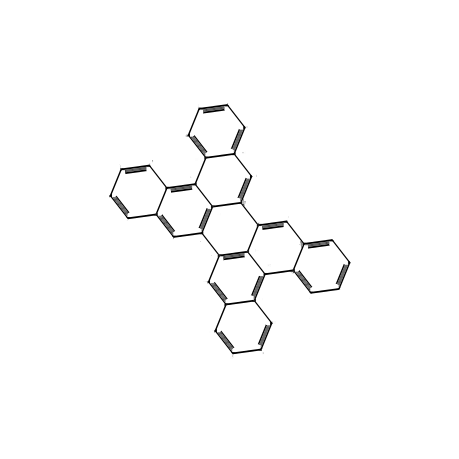 c1ccc2c(c1)cc1c3cc4ccccc4c4c5ccccc5cc(c5cc6ccccc6c2c15)c34